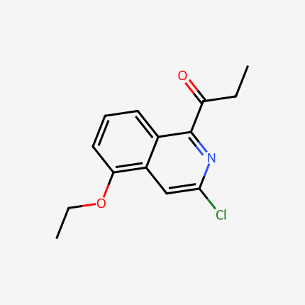 CCOc1cccc2c(C(=O)CC)nc(Cl)cc12